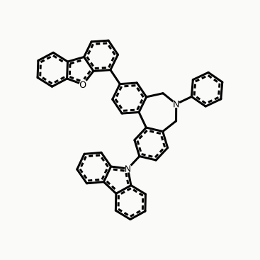 c1ccc(N2Cc3cc(-c4cccc5c4oc4ccccc45)ccc3-c3cc(-n4c5ccccc5c5ccccc54)ccc3C2)cc1